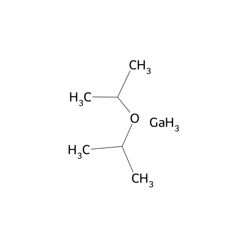 CC(C)OC(C)C.[GaH3]